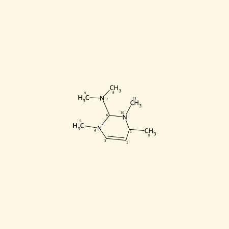 CC1C=CN(C)C(N(C)C)N1C